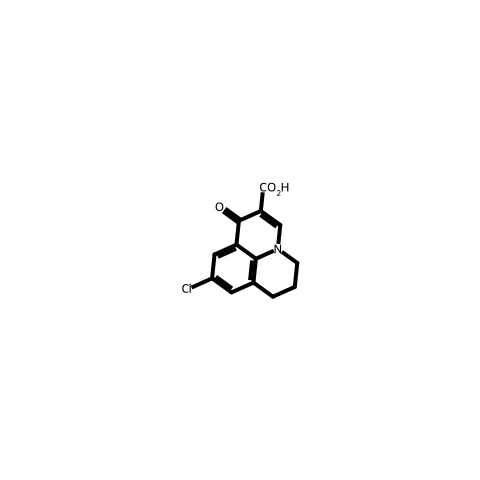 O=C(O)c1cn2c3c(cc(Cl)cc3c1=O)CCC2